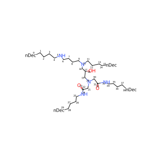 CCCCCCCCCCCCCCNCCCCN(CCCCCCCCCCCCCC)CC(O)CN(CC(=O)NCCCCCCCCCCCCCC)CC(=O)NCCCCCCCCCCCCCC